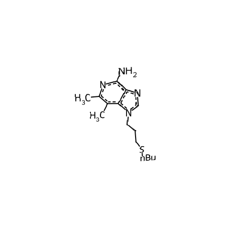 CCCCSCCCn1cnc2c(N)nc(C)c(C)c21